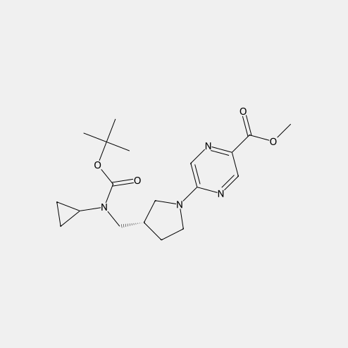 COC(=O)c1cnc(N2CC[C@H](CN(C(=O)OC(C)(C)C)C3CC3)C2)cn1